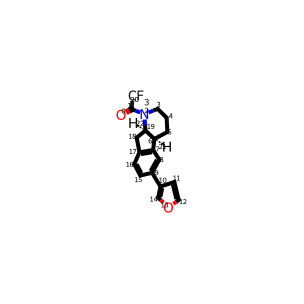 O=C(N1CCC[C@H]2c3cc(-c4ccoc4)ccc3C[C@H]21)C(F)(F)F